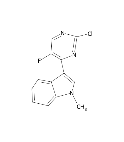 Cn1cc(-c2nc(Cl)ncc2F)c2ccccc21